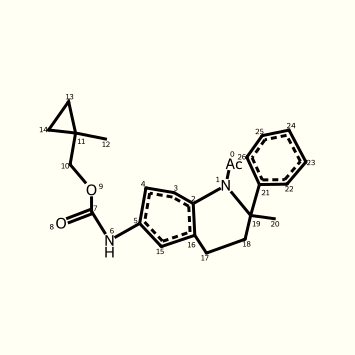 CC(=O)N1c2ccc(NC(=O)OCC3(C)CC3)cc2CCC1(C)c1ccccc1